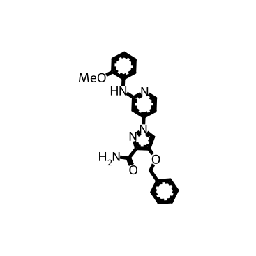 COc1ccccc1Nc1cc(-n2cc(OCc3ccccc3)c(C(N)=O)n2)ccn1